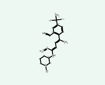 C=N/C(=C\C=C(/C)c1ccc(C(C)(F)F)cc1C=N)NC1CCCN(CC)C1